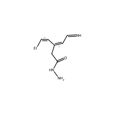 CC/C=C\C(=C/C=N)CC(=O)NN